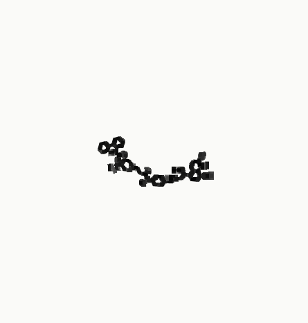 CC1(OC(=O)Nc2ccccc2-c2ccccc2)CCN(CCC(=O)N(Cl)c2ccc(CNCC(O)c3ccc(O)c4[nH]c(=O)ccc34)cc2)CC1